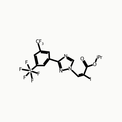 CC(C)OC(=O)/C(I)=C\n1cnc(-c2cc(C(F)(F)F)cc(S(F)(F)(F)(F)F)c2)n1